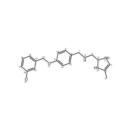 CC1=CNN(CNCc2ccc(OCc3cccc(Cl)c3)cc2)N1